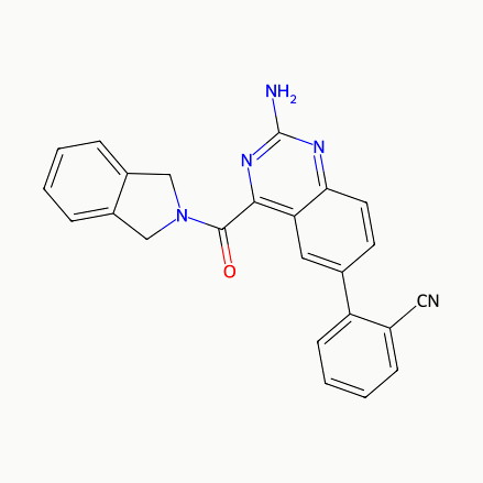 N#Cc1ccccc1-c1ccc2nc(N)nc(C(=O)N3Cc4ccccc4C3)c2c1